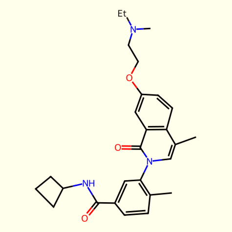 CCN(C)CCOc1ccc2c(C)cn(-c3cc(C(=O)NC4CCC4)ccc3C)c(=O)c2c1